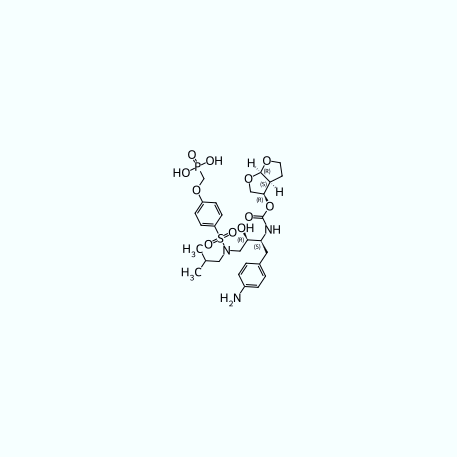 CC(C)CN(C[C@@H](O)[C@H](Cc1ccc(N)cc1)NC(=O)O[C@H]1CO[C@H]2OCC[C@H]21)S(=O)(=O)c1ccc(OCP(=O)(O)O)cc1